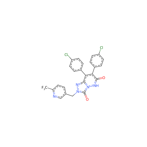 O=c1[nH]n2c(=O)n(Cc3ccc(C(F)(F)F)nc3)nc2c(-c2ccc(Cl)cc2)c1-c1ccc(Cl)cc1